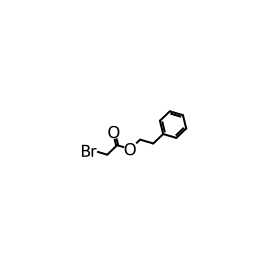 O=C(CBr)OCCc1ccccc1